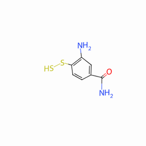 NC(=O)c1ccc(SS)c(N)c1